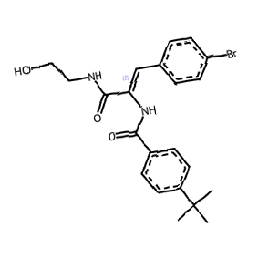 CC(C)(C)c1ccc(C(=O)N/C(=C\c2ccc(Br)cc2)C(=O)NCCO)cc1